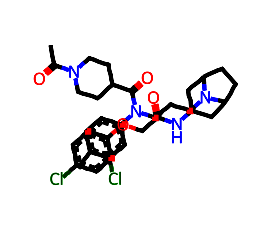 CC(=O)N1CCC(C(=O)N(CCCN2C3CCC2CC(NC(=O)COc2ccc(Cl)cc2)C3)c2ccc(C)c(Cl)c2)CC1